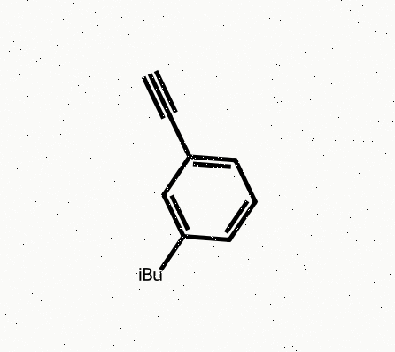 C#Cc1cccc(C(C)CC)c1